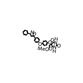 COCCC1(Oc2ccc(Oc3ccc(-c4cc(-c5ccccc5)no4)cc3)cc2)C(=O)NC(=O)NC1=O